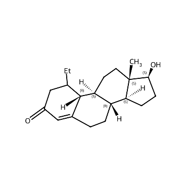 CCC1CC(=O)C=C2CC[C@@H]3[C@H](CC[C@]4(C)[C@@H](O)CC[C@@H]34)[C@H]21